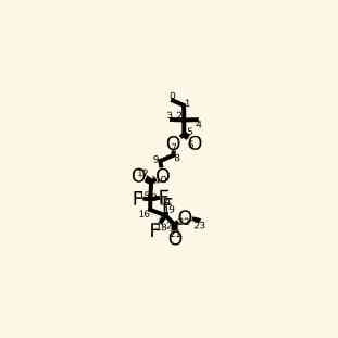 CCC(C)(C)C(=O)OCCOC(=O)C(F)(F)CC(F)(F)C(=O)OC